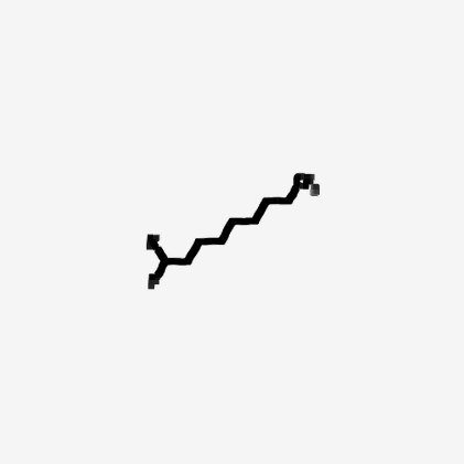 F[CH]([K])CCCCCCCC(F)(F)F